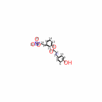 O=C(/C=C/c1ccc(O)cc1)Oc1cccc(CCO[N+](=O)[O-])c1